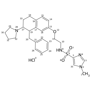 Cl.Cn1cnc(S(=O)(=O)NCCOc2ccc3c(c2)C(Cc2ccccc2)C(N2CCCC2)CC3)c1